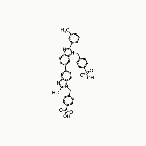 Cc1cccc(-c2nc3ccc(-c4ccc5c(c4)nc(C)n5Cc4ccc(S(=O)(=O)O)cc4)cc3n2Cc2ccc(S(=O)(=O)O)cc2)c1